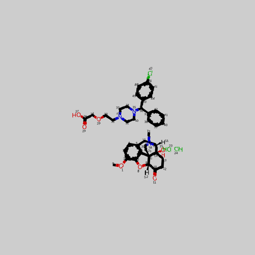 COc1ccc2c3c1O[C@H]1C(=O)CC[C@@]4(O)[C@@H](C2)N(C)CC[C@]314.Cl.Cl.O=C(O)COCCN1CCN(C(c2ccccc2)c2ccc(Cl)cc2)CC1